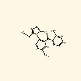 Cc1nnc(CBr)n1-c1ccc(C(F)(F)F)cc1C(=O)c1ccccc1Cl